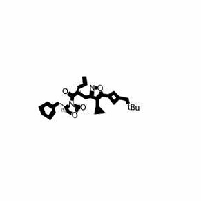 C=CC[C@@H](Cc1noc(C2CC(CC(C)(C)C)C2)c1C1CC1)C(=O)N1C(=O)OC[C@@H]1Cc1ccccc1